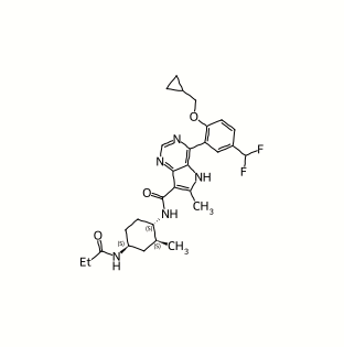 CCC(=O)N[C@H]1CC[C@H](NC(=O)c2c(C)[nH]c3c(-c4cc(C(F)F)ccc4OCC4CC4)ncnc23)[C@@H](C)C1